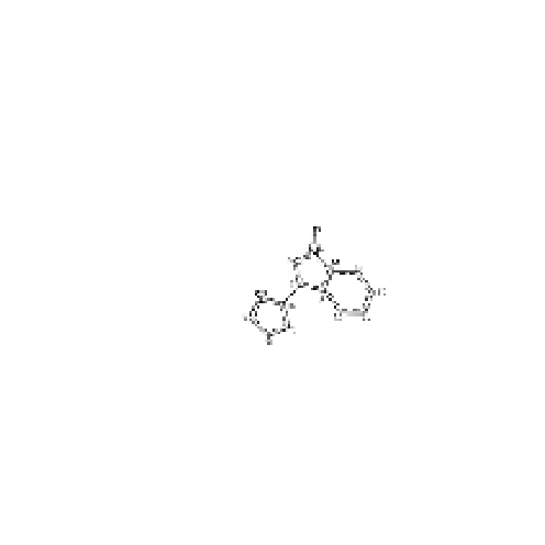 Cn1cc(-c2cccs2)c2ccccc21